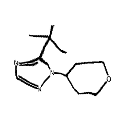 CC(C)(C)c1ncnn1C1CCOCC1